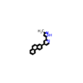 Cc1cc(-c2cc(-c3ccc4c(ccc5ccccc54)c3)ccn2)[nH]n1